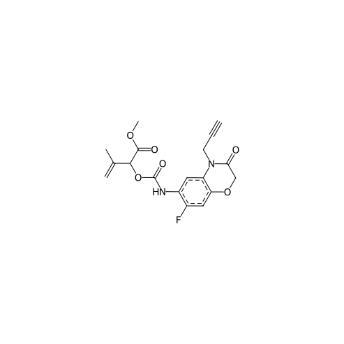 C#CCN1C(=O)COc2cc(F)c(NC(=O)OC(C(=C)C)C(=O)OC)cc21